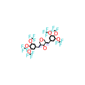 O=C1/C(=C/c2cc(OC(F)(F)F)c(OC(F)(F)F)c(OC(F)(F)F)c2)COC/C1=C\c1cc(OC(F)(F)F)c(OC(F)(F)F)c(OC(F)(F)F)c1